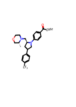 COC(=O)c1ccc(N2CC(c3ccc(C(F)(F)F)cc3)C[C@H]2CN2CCOC[C@H]2C)cc1